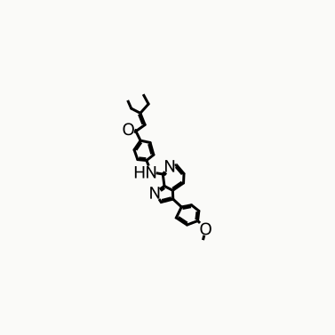 CCC(=CC(=O)c1ccc(Nc2ncccc3c(-c4ccc(OC)cc4)cnc2-3)cc1)CC